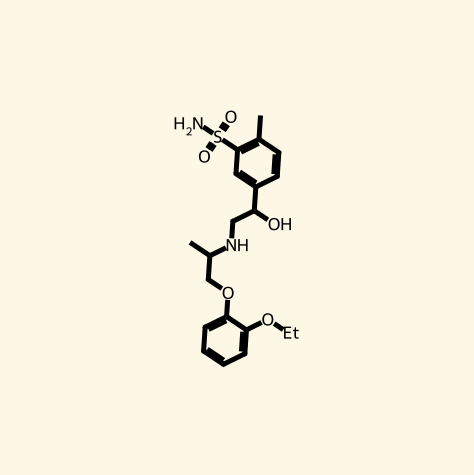 CCOc1ccccc1OCC(C)NCC(O)c1ccc(C)c(S(N)(=O)=O)c1